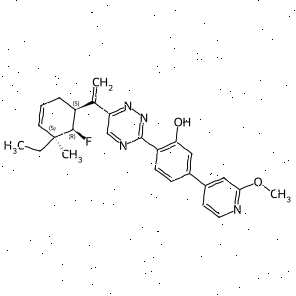 C=C(c1cnc(-c2ccc(-c3ccnc(OC)c3)cc2O)nn1)[C@@H]1CC=C[C@](C)(CC)[C@@H]1F